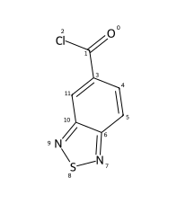 O=C(Cl)c1ccc2nsnc2c1